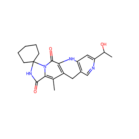 Cc1c2c(c(=O)n3c1C(=O)NC31CCCCC1)Nc1cc(C(C)O)ncc1C2